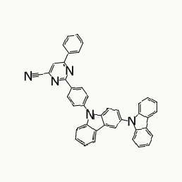 N#Cc1cc(-c2ccccc2)nc(-c2ccc(-n3c4ccccc4c4cc(-n5c6ccccc6c6ccccc65)ccc43)cc2)n1